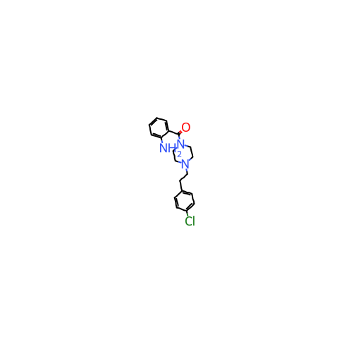 Nc1ccccc1C(=O)N1CCN(CCc2ccc(Cl)cc2)CC1